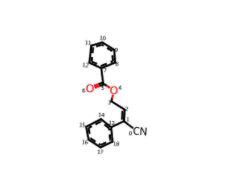 N#CC(=CCOC(=O)c1ccccc1)c1ccccc1